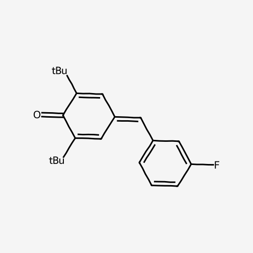 CC(C)(C)C1=CC(=Cc2cccc(F)c2)C=C(C(C)(C)C)C1=O